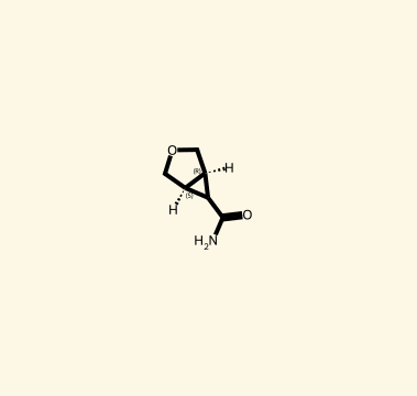 NC(=O)C1[C@H]2COC[C@@H]12